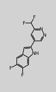 Fc1cc2cc(-c3cnnc(C(F)F)c3)[nH]c2cc1F